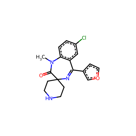 CN1C(=O)C2(CCNCC2)N=C(c2ccoc2)c2cc(Cl)ccc21